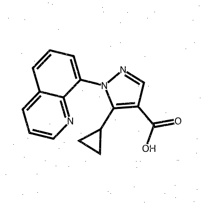 O=C(O)c1cnn(-c2cccc3cccnc23)c1C1CC1